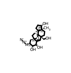 C[C@]12CC[C@]3(CO)C=C4[C@@H](O)[C@H](O)[C@@H](N=[N+]=[N-])C[C@]45CC[C@]3(O5)[C@@H]1CC[C@@H]2O